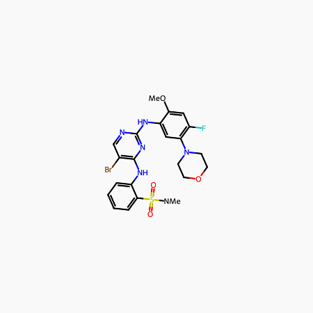 CNS(=O)(=O)c1ccccc1Nc1nc(Nc2cc(N3CCOCC3)c(F)cc2OC)ncc1Br